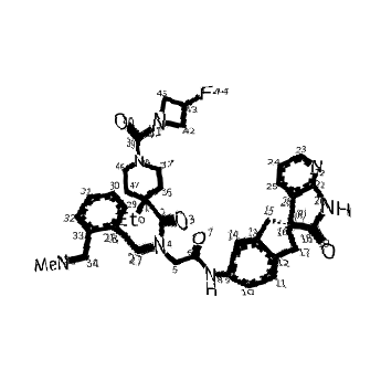 CCC1(C(=O)N(CC(=O)Nc2ccc3c(c2)C[C@@]2(C3)C(=O)Nc3ncccc32)Cc2ccccc2CNC)CCN(C(=O)N2CC(F)C2)CC1